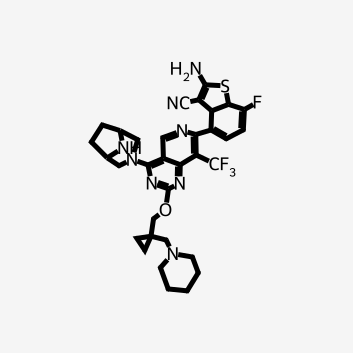 N#CC1=C(N)SC2C(F)=CC=C(c3ncc4c(N5CC6CCC(C5)N6)nc(OCC5(CN6CCCCC6)CC5)nc4c3C(F)(F)F)C12